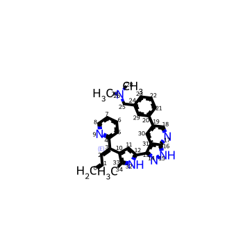 C=C/C=C(/c1ccccn1)c1cc(-c2n[nH]c3ncc(-c4cccc(CN(C)C)c4)cc23)[nH]c1C